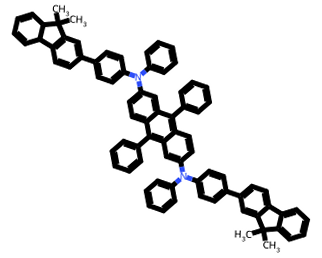 CC1(C)c2ccccc2-c2ccc(-c3ccc(N(c4ccccc4)c4ccc5c(-c6ccccc6)c6cc(N(c7ccccc7)c7ccc(-c8ccc9c(c8)C(C)(C)C8C=CC=CC98)cc7)ccc6c(-c6ccccc6)c5c4)cc3)cc21